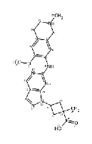 COc1cc2c(cc1Nc1ncc3cnn(C4CC(C)(C(=O)O)C4)c3n1)CN(C)CC2